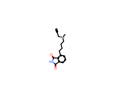 C#CC[As](C)CCCCc1cccc2c1C(=O)NC2=O